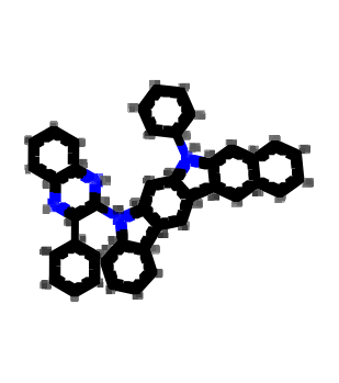 c1ccc(-c2nc3ccccc3nc2-n2c3ccccc3c3cc4c5cc6ccccc6cc5n(-c5ccccc5)c4cc32)cc1